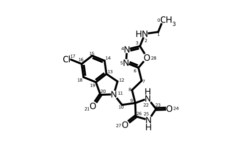 CCNc1nnc(CCC2(CN3Cc4ccc(Cl)cc4C3=O)NC(=O)NC2=O)o1